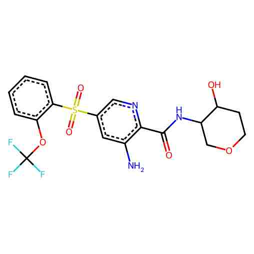 Nc1cc(S(=O)(=O)c2ccccc2OC(F)(F)F)cnc1C(=O)NC1COCCC1O